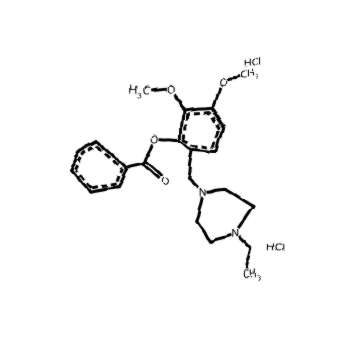 CCN1CCN(Cc2ccc(OC)c(OC)c2OC(=O)c2ccccc2)CC1.Cl.Cl